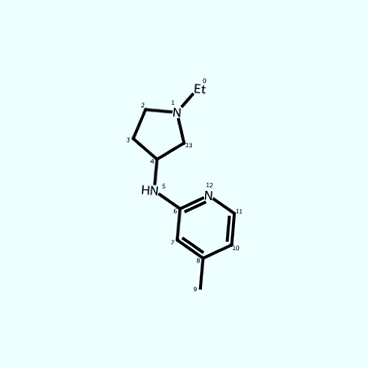 CCN1CCC(Nc2cc(C)ccn2)C1